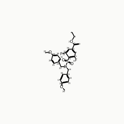 C=C(OCC)c1cc(F)c(S(=O)(=O)N(Cc2ccc(OC)cc2)Cc2ccc(OC)cc2)c(F)c1